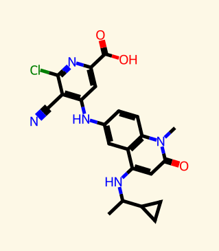 CC(Nc1cc(=O)n(C)c2ccc(Nc3cc(C(=O)O)nc(Cl)c3C#N)cc12)C1CC1